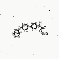 CC(C)(C)OC(=O)Nc1ccc(-c2cnc(OC3CN4CCC3CC4)nc2)cc1